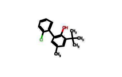 Cc1cc(-c2ccccc2Cl)c(O)c(C(C)(C)C)c1